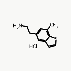 Cl.NCCc1cc(C(F)(F)F)c2sccc2c1